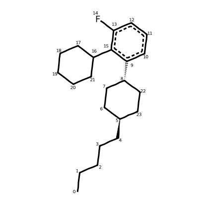 CCCCC[C@H]1CC[C@H](c2cccc(F)c2C2CCCCC2)CC1